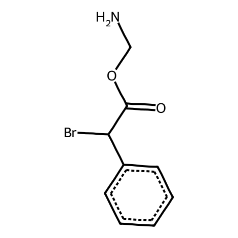 NCOC(=O)C(Br)c1ccccc1